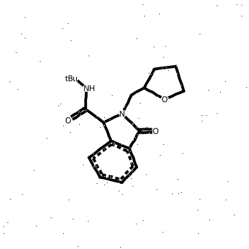 CC(C)(C)NC(=O)C1c2ccccc2C(=O)N1CC1CCCO1